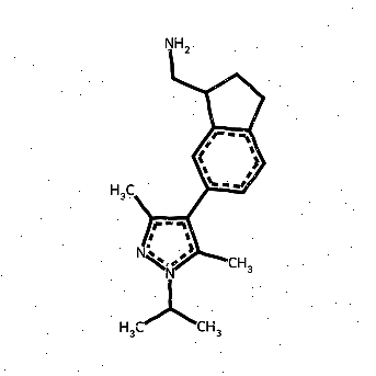 Cc1nn(C(C)C)c(C)c1-c1ccc2c(c1)C(CN)CC2